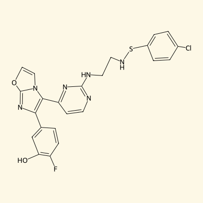 Oc1cc(-c2nc3occn3c2-c2ccnc(NCCNSc3ccc(Cl)cc3)n2)ccc1F